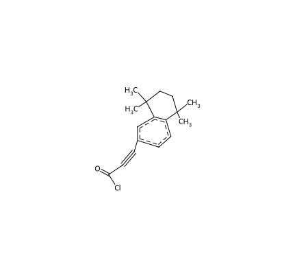 CC1(C)CCC(C)(C)c2cc(C#CC(=O)Cl)ccc21